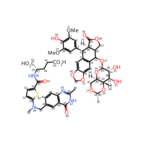 COc1cc([C@@H]2c3cc4c(cc3C(O[C@@H]3O[C@@H]5CO[C@@H](C)O[C@H]5[C@H](O)[C@H]3O)C3COC(=O)[C@@H]32)OCO4)cc(OC)c1O.Cc1nc2ccc(CN(C)c3ccc(C(=O)N[C@@H](CCC(=O)O)C(=O)O)s3)cc2c(=O)[nH]1